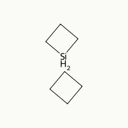 C1CCC1.C1C[SiH2]C1